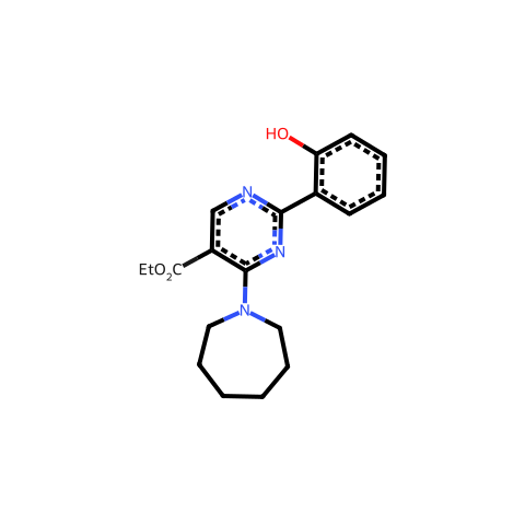 CCOC(=O)c1cnc(-c2ccccc2O)nc1N1CCCCCC1